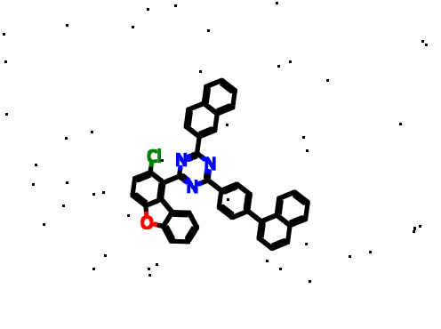 Clc1ccc2oc3ccccc3c2c1-c1nc(-c2ccc(-c3cccc4ccccc34)cc2)nc(-c2ccc3ccccc3c2)n1